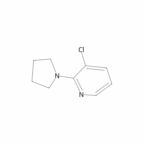 Clc1cccnc1N1CCCC1